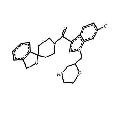 O=C(c1cn(CC2CNCCO2)c2cc(Cl)ccc12)N1CCC2(CC1)OCc1ccccc12